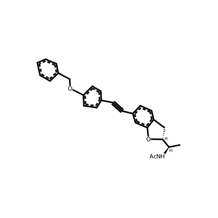 CC(=O)N[C@H](C)[C@H]1Cc2ccc(C#Cc3ccc(OCc4ccccc4)cc3)cc2O1